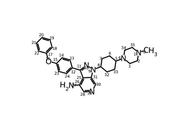 CN1CCN(C2CCC(n3nc(-c4ccc(Oc5ccccc5)cc4)c4c(N)cncc43)CC2)CC1